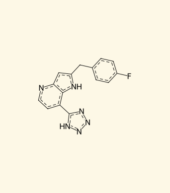 Fc1ccc(Cc2cc3nccc(-c4nnn[nH]4)c3[nH]2)cc1